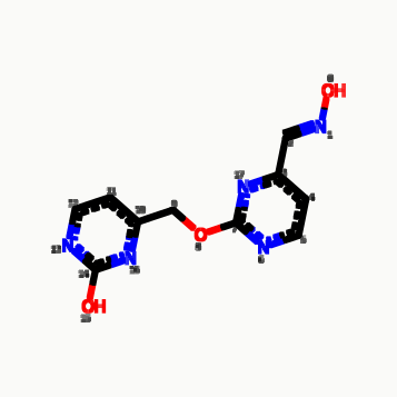 O/N=C/c1ccnc(OCc2ccnc(O)n2)n1